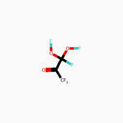 O=C(C(F)(F)F)C(F)(OF)OF